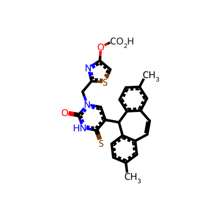 Cc1ccc2c(c1)C=Cc1cc(C)ccc1C2c1cn(Cc2nc(OC(=O)O)cs2)c(=O)[nH]c1=S